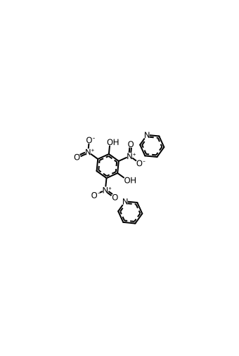 O=[N+]([O-])c1cc([N+](=O)[O-])c(O)c([N+](=O)[O-])c1O.c1ccncc1.c1ccncc1